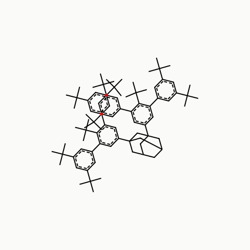 CC(C)(C)c1cc(-c2cc(C34CC5CC(C3)CC(c3cc(-c6cc(C(C)(C)C)cc(C(C)(C)C)c6)c(C(C)(C)C)c(-c6cc(C(C)(C)C)cc(C(C)(C)C)c6)c3)(C5)C4)cc(-c3cc(C(C)(C)C)cc(C(C)(C)C)c3)c2C(C)(C)C)cc(C(C)(C)C)c1